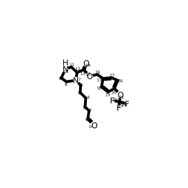 O=[C]CCCCCN1CCNCC1C(=O)OCc1ccc(OC(F)(F)F)cc1